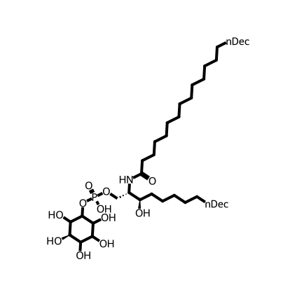 CCCCCCCCCCCCCCCCCCCCCCCC(=O)N[C@@H](COP(=O)(O)OC1C(O)C(O)C(O)[C@@H](O)C1O)[C@H](O)CCCCCCCCCCCCCCC